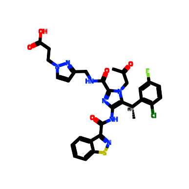 CC(=O)Cn1c(C(=O)NCc2ccn(CCC(=O)O)n2)nc(NC(=O)c2nsc3ccccc23)c1[C@@H](C)c1cc(F)ccc1Cl